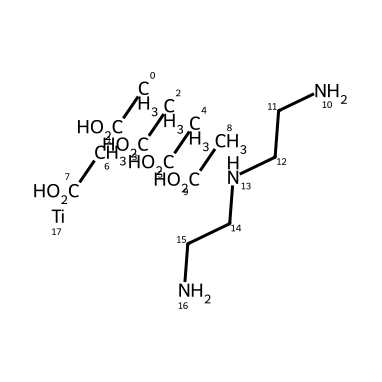 CC(=O)O.CC(=O)O.CC(=O)O.CC(=O)O.CC(=O)O.NCCNCCN.[Ti]